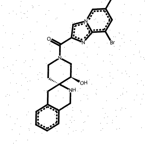 O=C(c1cn2cc(Cl)cc(Br)c2n1)N1CC[C@]2(Cc3ccccc3CN2)[C@H](O)C1